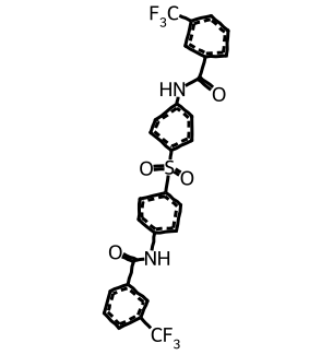 O=C(Nc1ccc(S(=O)(=O)c2ccc(NC(=O)c3cccc(C(F)(F)F)c3)cc2)cc1)c1cccc(C(F)(F)F)c1